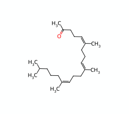 CC(=O)CC/C=C(/C)CC/C=C(\C)CC/C=C(/C)CCCC(C)C